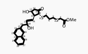 COC(=O)CSCCCS[C@H]1C(=O)C[C@@H](O)[C@@H]1/C=C/C(O)Cc1ccc2ccccc2c1